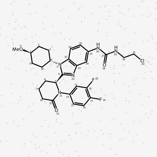 CO[C@H]1CC[C@H](n2c([C@@H]3CCCC(=O)N3c3ccc(F)c(F)c3)nc3cc(NC(=O)NCCCl)ccc32)CC1